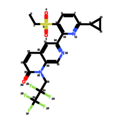 CCS(=O)(=O)c1ccc(C2CC2)nc1-c1cc2ccc(=O)n(CC(F)(F)C(F)(F)F)c2cn1